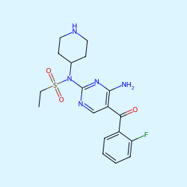 CCS(=O)(=O)N(c1ncc(C(=O)c2ccccc2F)c(N)n1)C1CCNCC1